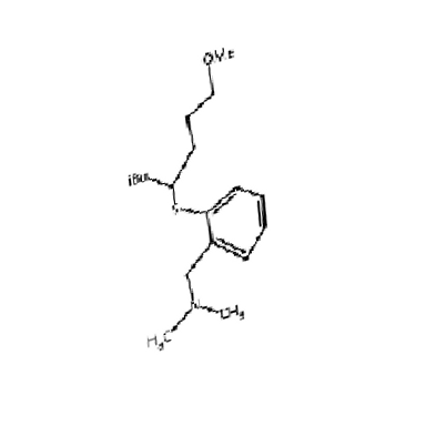 CCC(C)C(CCCOC)Sc1ccccc1CN(C)C